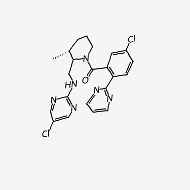 C[C@@H]1CCCN(C(=O)c2cc(Cl)ccc2-c2ncccn2)C1CNc1ncc(Cl)cn1